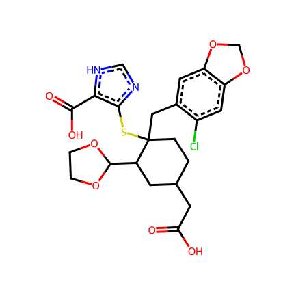 O=C(O)CC1CCC(Cc2cc3c(cc2Cl)OCO3)(Sc2nc[nH]c2C(=O)O)C(C2OCCO2)C1